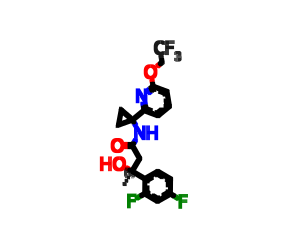 C[C@](O)(CC(=O)NC1(c2cccc(OCC(F)(F)F)n2)CC1)c1ccc(F)cc1F